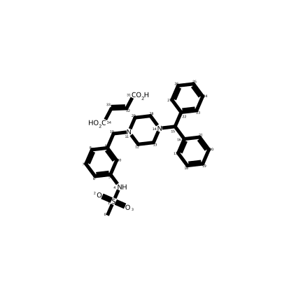 CS(=O)(=O)Nc1cccc(CN2CCN(C(c3ccccc3)c3ccccc3)CC2)c1.O=C(O)C=CC(=O)O